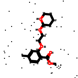 COC(=O)c1ccc(C)cc1OCCOC1CCCCO1